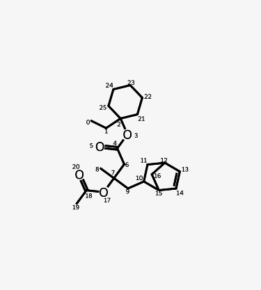 CCC1(OC(=O)CC(C)(CC2CC3C=CC2C3)OC(C)=O)CCCCC1